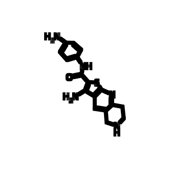 Nc1ccc(NC(=O)c2sc3nc4c(cc3c2N)CNCC4)cc1